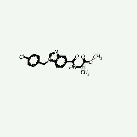 COC(=O)[C@H](C)NC(=O)c1ccc2c(c1)ncn2Cc1ccc(Cl)cc1